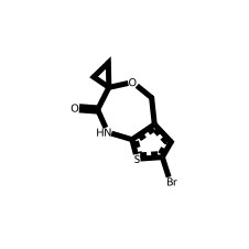 O=C1Nc2sc(Br)cc2COC12CC2